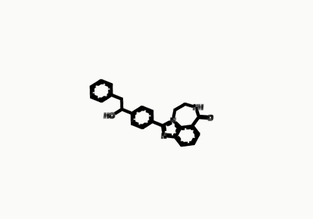 O=C1NCCn2c(-c3ccc(C(O)Cc4ccccc4)cc3)nc3cccc1c32